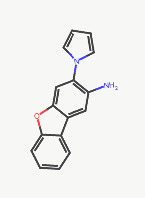 Nc1cc2c(cc1-n1cccc1)oc1ccccc12